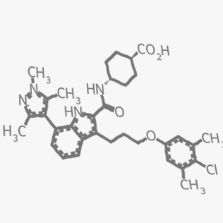 Cc1cc(OCCCc2c(C(=O)N[C@H]3CC[C@H](C(=O)O)CC3)[nH]c3c(-c4c(C)nn(C)c4C)cccc23)cc(C)c1Cl